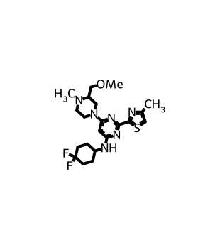 COCC1CN(c2cc(NC3CCC(F)(F)CC3)nc(-c3nc(C)cs3)n2)CCN1C